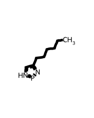 CCCCCCc1c[nH]pn1